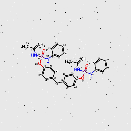 C=C(C)NP(=O)(Nc1ccccc1)Oc1ccc(Cc2ccc(OP(=O)(NC(=C)C)Nc3ccccc3)cc2)cc1